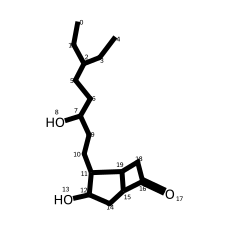 CCC(CC)CCC(O)CCC1C(O)CC2C(=O)CC21